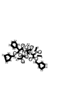 CCP(=O)(CC)C(C(=O)OCc1ccccc1)N1C(=O)[C@@](NC(=O)C(C(=O)OCc2ccccc2)c2ccccc2)(OC)[C@@H]1OCC(C)=O